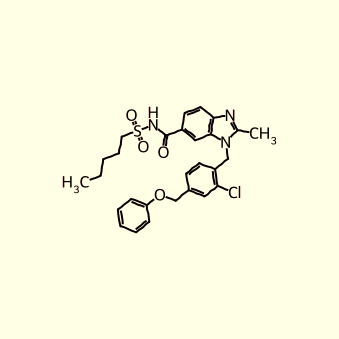 CCCCCS(=O)(=O)NC(=O)c1ccc2nc(C)n(Cc3ccc(COc4ccccc4)cc3Cl)c2c1